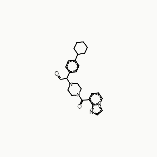 O=CC(c1ccc(C2CCCCC2)cc1)N1CCN(C(=O)c2cccn3ccnc23)CC1